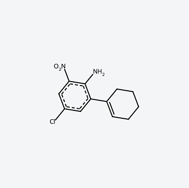 Nc1c(C2=CCCCC2)cc(Cl)cc1[N+](=O)[O-]